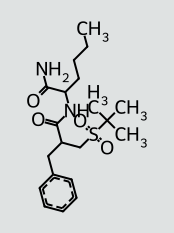 CCCCC(NC(=O)C(Cc1ccccc1)CS(=O)(=O)C(C)(C)C)C(N)=O